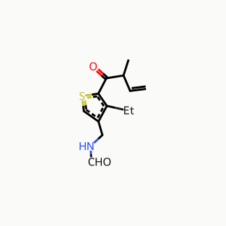 C=CC(C)C(=O)c1scc(CNC=O)c1CC